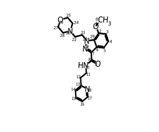 COc1cccc2c(C(=O)NCCc3ccccn3)nn(CCN3CCOCC3)c12